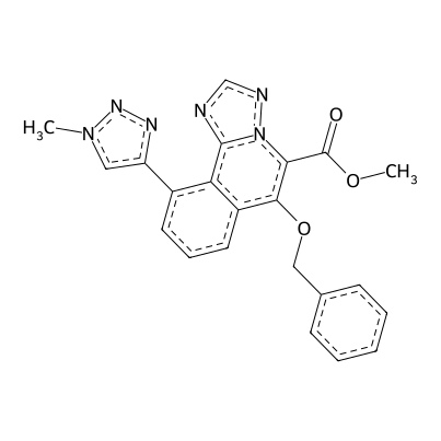 COC(=O)c1c(OCc2ccccc2)c2cccc(-c3cn(C)nn3)c2c2ncnn12